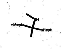 CBC(C)(CCCCCCC)CCCCCCC